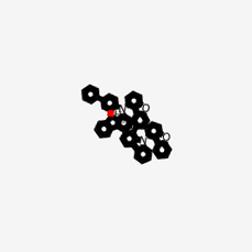 CC12c3ccccc3-c3cccc(c31)N(c1cccc3oc4ccc(-c5cccc6c7ccccc7n(-c7cccc8oc9ccccc9c78)c56)cc4c13)c1ccc(-c3ccccc3)cc12